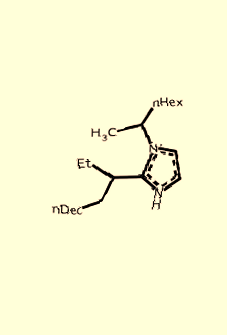 CCCCCCCCCCCC(CC)c1[nH]cc[n+]1C(C)CCCCCC